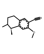 COc1cc2c(cc1C#N)CCC(C)[C@@H]2C